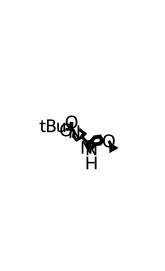 CC(C)(C)OC(=O)N1CC=C(c2n[nH]c3cc(OC4CC4)ccc23)CC1